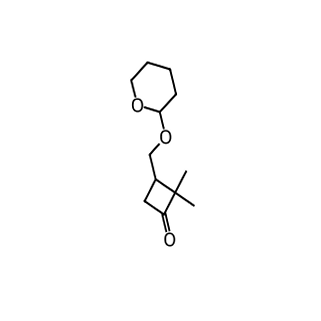 CC1(C)C(=O)CC1COC1CCCCO1